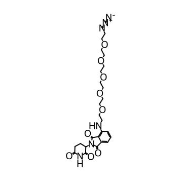 [N-]=[N+]=NCCOCCOCCOCCOCCOCCNc1cccc2c1C(=O)N(C1CCC(=O)NC1=O)C2=O